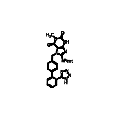 CCCCCc1nc2[nH]c(=O)n(C)c(=O)c2n1Cc1ccc(-c2ccccc2-c2nnn[nH]2)cc1